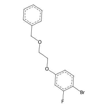 Fc1cc(OCCOCc2ccccc2)ccc1Br